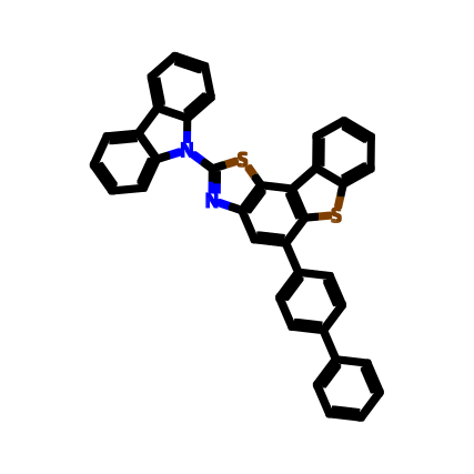 c1ccc(-c2ccc(-c3cc4nc(-n5c6ccccc6c6ccccc65)sc4c4c3sc3ccccc34)cc2)cc1